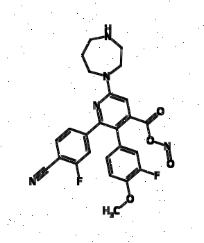 COc1ccc(-c2c(C(=O)ON=O)cc(N3CCCNCC3)nc2-c2ccc(C#N)c(F)c2)cc1F